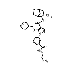 CC1CC2CCCC(C2)C1NC(=O)c1cnn(-c2cccc(C(=O)NCCN)c2)c1OCC1CCCCC1